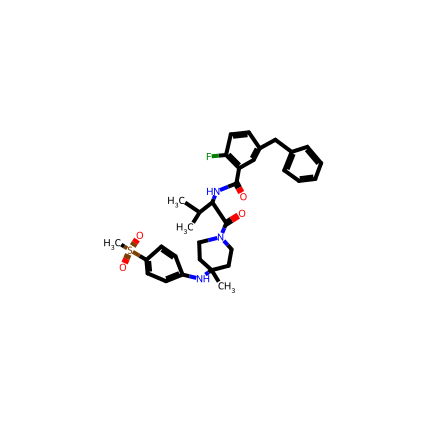 CC(C)C(NC(=O)c1cc(Cc2ccccc2)ccc1F)C(=O)N1CCC(C)(Nc2ccc(S(C)(=O)=O)cc2)CC1